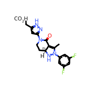 CC1=C2C(=O)N(c3cc(CC(=O)O)[nH]n3)CC[C@@H]2NN1c1cc(F)cc(F)c1